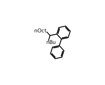 CCCCCCCCC(CCCC)c1ccccc1-c1ccccc1